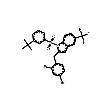 CC(C)(C)c1cccc(S(=O)(=O)n2c(Cc3ccc(Br)cc3F)cc3cc(C(F)(F)F)ccc32)c1